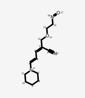 N#C/C(=C\C=C\N1CCCCC1)COCCN=O